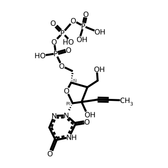 CC#CC1(O)C(CO)[C@@H](COP(=O)(O)OP(=O)(O)OP(=O)(O)O)O[C@H]1n1ncc(=O)[nH]c1=O